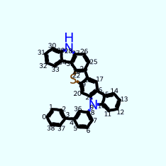 c1ccc(-c2cccc(-n3c4ccccc4c4cc5c(cc43)sc3c5ccc4[nH]c5ccccc5c43)c2)cc1